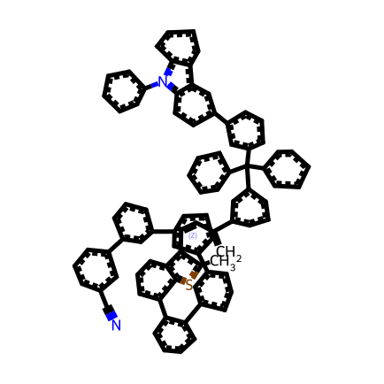 C=C(/C=C\c1c(C)sc2c(-c3ccccc3-c3cccc(-c4cccc(-c5cccc(-c6cccc(C#N)c6)c5)c4)c3)cccc12)c1cccc(C(c2ccccc2)(c2ccccc2)c2cccc(-c3ccc4c(c3)c3ccccc3n4-c3ccccc3)c2)c1